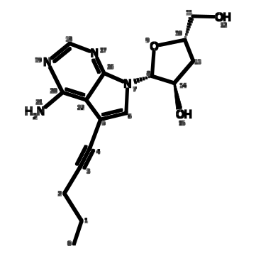 CCCC#Cc1cn([C@@H]2O[C@H](CO)C[C@H]2O)c2ncnc(N)c12